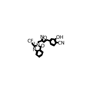 N#Cc1ccc(-c2cc(Cn3c(CC(F)(F)F)nc4ccccc4c3=O)no2)cc1O